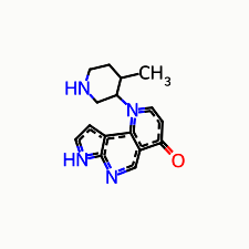 CC1CCNCC1n1ccc(=O)c2cnc3[nH]ccc3c21